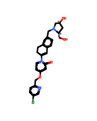 O=c1cc(OCc2ccc(Cl)cn2)ccn1C1=Cc2ccc(CN3C[C@@H](O)C[C@@H]3CO)cc2CC1